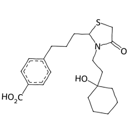 O=C(O)c1ccc(CCCC2SCC(=O)N2CCC2(O)CCCCC2)cc1